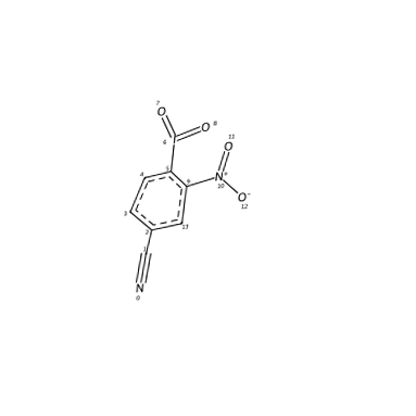 N#Cc1ccc(I(=O)=O)c([N+](=O)[O-])c1